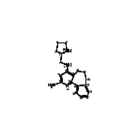 Nc1nc(NCC2CCCN2)c2c(n1)-c1ccccc1CCC2